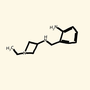 CCN1CC(NCc2ccccc2N)C1